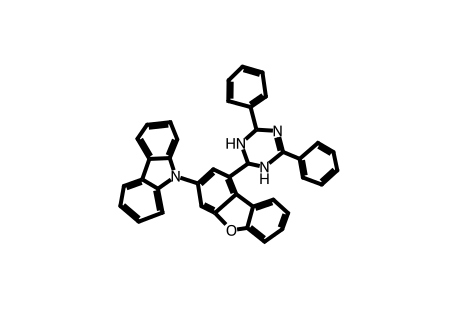 c1ccc(C2=NC(c3ccccc3)NC(c3cc(-n4c5ccccc5c5ccccc54)cc4oc5ccccc5c34)N2)cc1